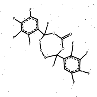 O=C1OC(F)(c2cc(F)c(F)c(F)c2F)SSSC(F)(c2cc(F)c(F)c(F)c2F)O1